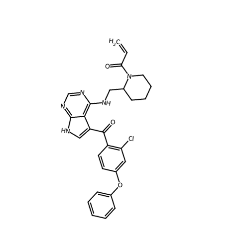 C=CC(=O)N1CCCCC1CNc1ncnc2[nH]cc(C(=O)c3ccc(Oc4ccccc4)cc3Cl)c12